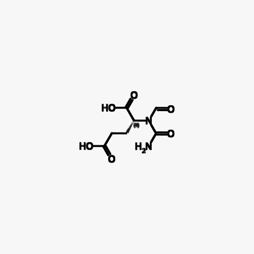 NC(=O)N(C=O)[C@H](CCC(=O)O)C(=O)O